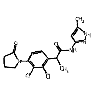 Cc1cc(NC(=O)C(C)c2ccc(N3CCCC3=O)c(Cl)c2Cl)n[nH]1